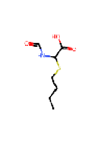 CCCCSC(NC=O)C(=O)O